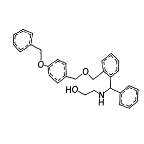 OCCNC(c1ccccc1)c1ccccc1COCc1ccc(OCc2ccccc2)cc1